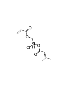 C=CC(=O)OC[SiH](Cl)OC(=O)C=C(C)C